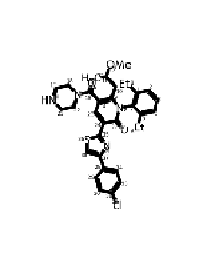 CCc1cccc(CC)c1-n1c(CC(C)OC)c(C(=O)N2CCNCC2)cc(-c2nc(-c3ccc(Cl)cc3)cs2)c1=O